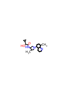 Cc1ccc(N2C[C@@H](C)[C@@H](NC(=O)[C@H](O)C3CC3)C2)c2cccnc12